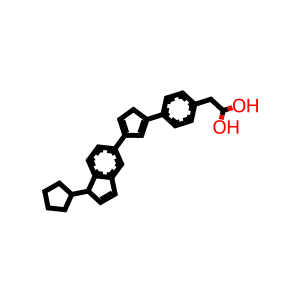 OC(O)Cc1ccc(C2=CC(c3ccc4c(c3)C=CC4C3CCCC3)=CC2)cc1